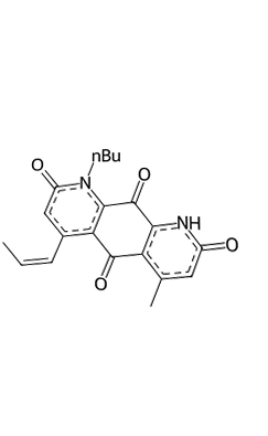 C/C=C\c1cc(=O)n(CCCC)c2c1C(=O)c1c(C)cc(=O)[nH]c1C2=O